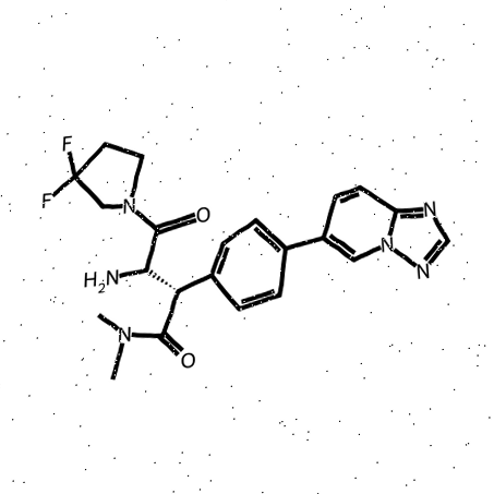 CN(C)C(=O)[C@@H](c1ccc(-c2ccc3ncnn3c2)cc1)C(N)C(=O)N1CCC(F)(F)C1